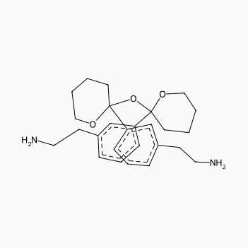 NCCc1cccc(C2(OC3(c4cccc(CCN)c4)CCCCO3)CCCCO2)c1